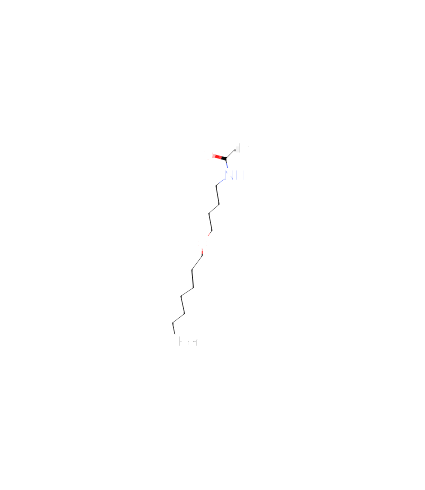 CCCC(C)CCCCCCOCCCCNC(=O)C(C)C